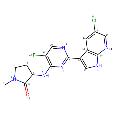 CN1CCC(Nc2nc(-c3c[nH]c4ncc(Cl)cc34)ncc2F)C1=O